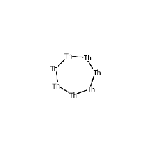 [Th]1[Th][Th][Th][Th][Th][Th]1